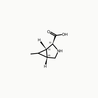 CC1[C@@H]2[C@@H](C(=O)O)NC[C@H]12